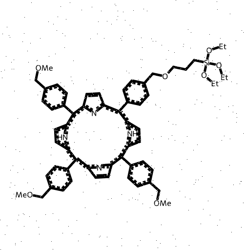 CCO[Si](CCCOCc1ccc(-c2c3nc(c(-c4ccc(COC)cc4)c4ccc([nH]4)c(-c4ccc(COC)cc4)c4nc(c(-c5ccc(COC)cc5)c5ccc2[nH]5)C=C4)C=C3)cc1)(OCC)OCC